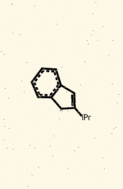 CC(C)C1=Cc2ccccc2[C]1